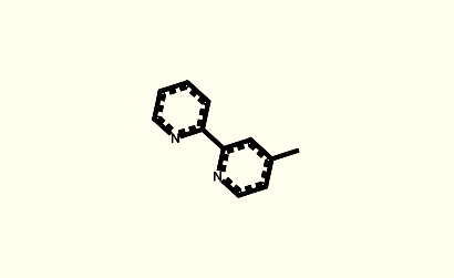 Cc1ccnc(-c2ccccn2)c1